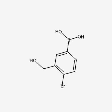 OCc1cc(B(O)O)ccc1Br